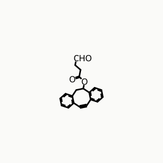 O=CCCC(=O)OC1Cc2ccccc2C#Cc2ccccc21